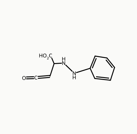 O=C=CC(NNc1ccccc1)C(=O)O